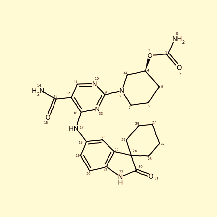 NC(=O)O[C@H]1CCCN(c2ncc(C(N)=O)c(Nc3ccc4c(c3)C3(CCCCC3)C(=O)N4)n2)C1